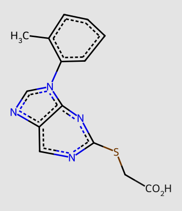 Cc1ccccc1-n1cnc2cnc(SCC(=O)O)nc21